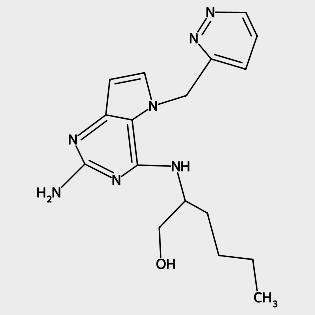 CCCCC(CO)Nc1nc(N)nc2ccn(Cc3cccnn3)c12